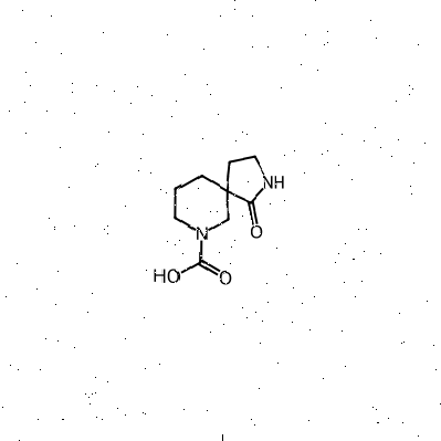 O=C(O)N1CCCC2(CCNC2=O)C1